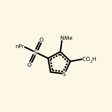 CCCS(=O)(=O)c1csc(C(=O)O)c1NC